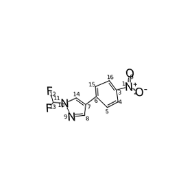 O=[N+]([O-])c1ccc(-c2cnn(C(F)F)c2)cc1